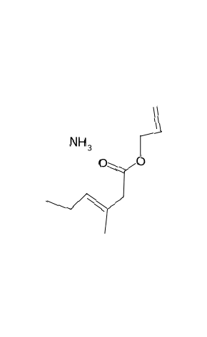 C=CCOC(=O)CC(C)=CCC.N